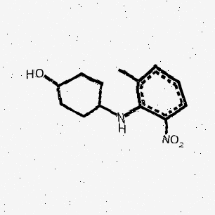 Cc1cccc([N+](=O)[O-])c1NC1CCC(O)CC1